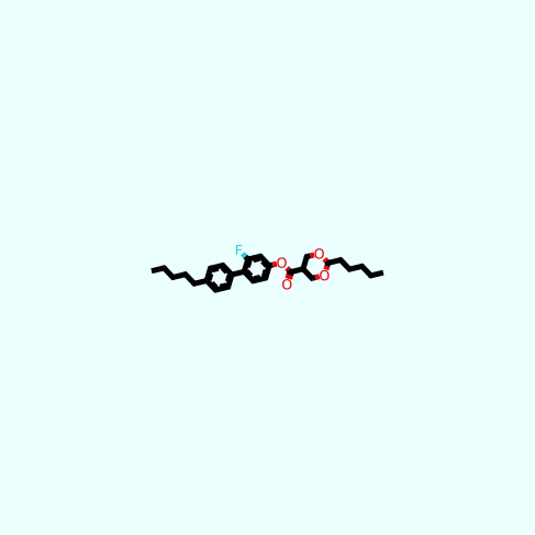 CCCCCc1ccc(-c2ccc(OC(=O)C3COC(CCCCC)OC3)cc2F)cc1